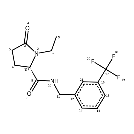 CCN1C(=O)CC[C@H]1C(=O)NCc1cccc(C(F)(F)F)c1